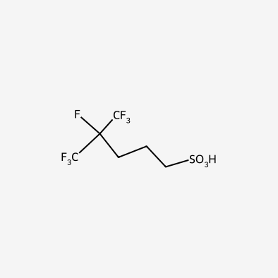 O=S(=O)(O)CCCC(F)(C(F)(F)F)C(F)(F)F